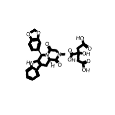 CN1CC(=O)N2[C@H](c3ccc4c(c3)OCO4)c3[nH]c4ccccc4c3C[C@@H]2C1=O.O=C(O)CC(O)(CC(=O)O)C(=O)O